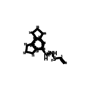 C=CSNNc1cc2c(c3c1CCC3)CCC2